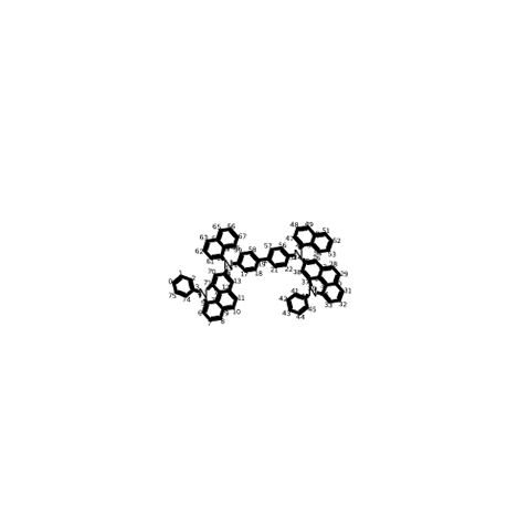 c1ccc(-n2c3cccc4ccc5cc(N(c6ccc(-c7ccc(N(c8cc9ccc%10cccc%11c%10c9c(c8)n%11-c8ccccc8)c8cccc9ccccc89)cc7)cc6)c6cccc7ccccc67)cc2c5c43)cc1